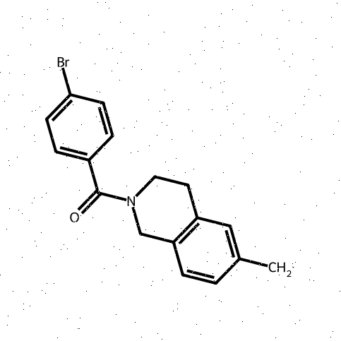 [CH2]c1ccc2c(c1)CCN(C(=O)c1ccc(Br)cc1)C2